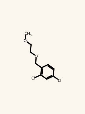 COCCOCc1ccc(Cl)cc1Cl